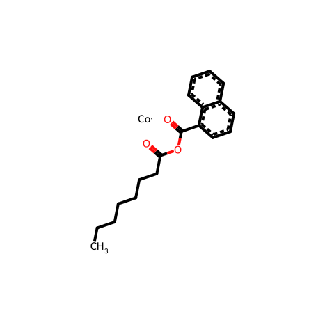 CCCCCCCC(=O)OC(=O)c1cccc2ccccc12.[Co]